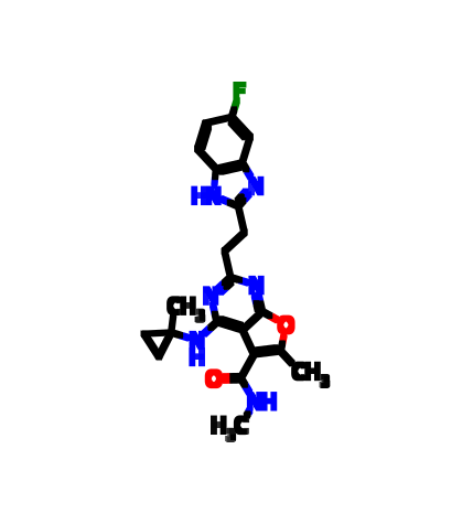 CNC(=O)c1c(C)oc2nc(CCc3nc4cc(F)ccc4[nH]3)nc(NC3(C)CC3)c12